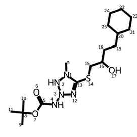 CN1NN(NC(=O)OC(C)(C)C)N=C1SCC(O)CCC1CCCCC1